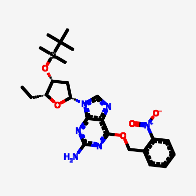 CC[C@H]1O[C@@H](n2cnc3c(OCc4ccccc4[N+](=O)[O-])nc(N)nc32)C[C@H]1O[Si](C)(C)C(C)(C)C